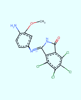 COc1cc(/N=C2\NC(=O)c3c(Cl)c(Cl)c(Cl)c(Cl)c32)ccc1N